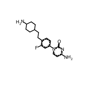 Nc1ccn(-c2ccc(CCC3CCC(N)CC3)c(F)c2)c(=O)n1